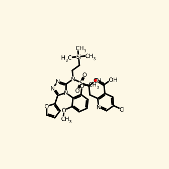 COc1cccc(OC)c1-n1c(-c2ccco2)nnc1N(CC[Si](C)(C)C)S(=O)(=O)C(C)Cc1ncc(Cl)cc1C(=O)O